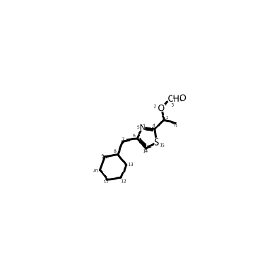 CC(OC=O)c1nc(CC2CCCCC2)cs1